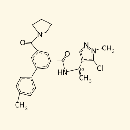 Cc1ccc(-c2cc(C(=O)N[C@H](C)c3cnn(C)c3Cl)cc(C(=O)N3CCCC3)c2)cc1